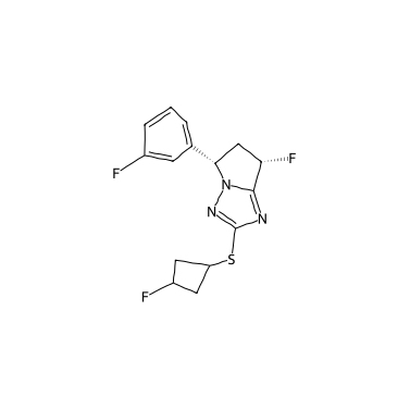 Fc1cccc([C@@H]2C[C@H](F)c3nc(SC4CC(F)C4)nn32)c1